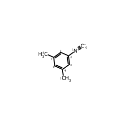 [C-]#[N+]c1cc(C)cc(C)c1